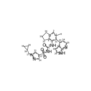 Cc1cc2c(c(NC(=O)NS(=O)(=O)c3cnn(CC4CC4)c3)c1-c1ccnc3[nH]ccc13)CCC2